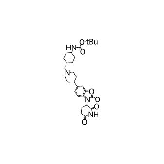 CC(C)(C)OC(=O)N[C@H]1CC[C@H](CN2CCC(c3ccc4c(c3)oc(=O)n4C3CCC(=O)NC3=O)CC2)CC1